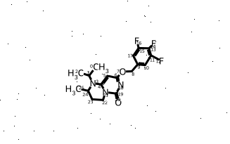 CC(C)N1c2cc(OCc3cc(F)c(F)c(F)c3)nc(=O)n2CCC1C